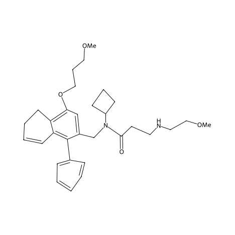 COCCCOc1cc(CN(C(=O)CCNCCOC)C2CCC2)c(-c2ccccc2)c2c1CCC=C2